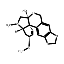 CO[C@@H]1C=C[C@@]23c4cc5c(cc4CO[C@]2(O)CN(C)[C@H]3C1)OCO5